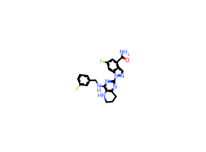 NC(=O)c1cc(F)cc2c1cnn2-c1nc2c(c(NCc3cccc(F)c3)n1)NCCC2